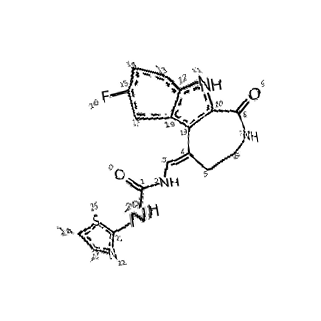 O=C(NC=C1CCNC(=O)c2[nH]c3ccc(F)cc3c21)Nc1nccs1